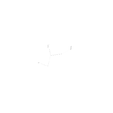 CCCC(F)[C]F